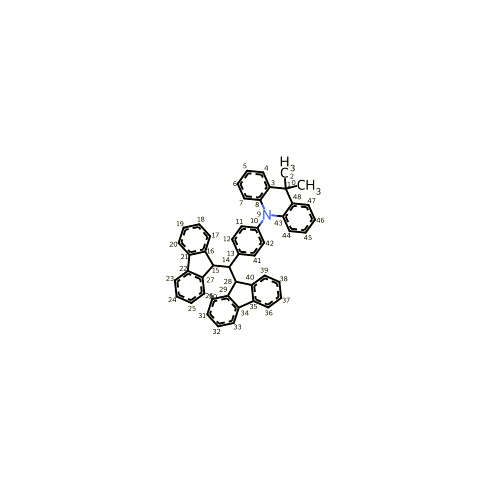 CC1(C)c2ccccc2N(c2ccc(C(C3c4ccccc4-c4ccccc43)C3c4ccccc4-c4ccccc43)cc2)c2ccccc21